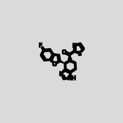 O=C(c1nccs1)N1CCc2[nH]cnc2[C@@H]1c1cc2cc(F)ccc2o1